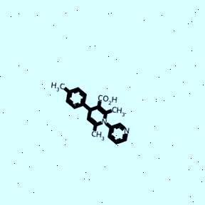 CC1=CC(c2ccc(C)cc2)C(C(=O)O)=C(C)N1c1cccnc1